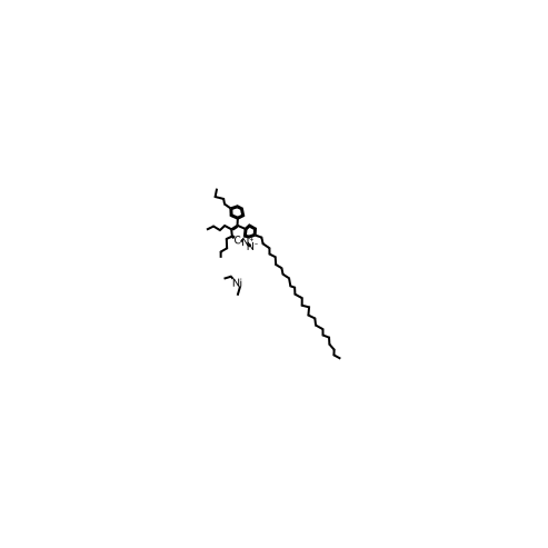 CCCCCCCCCCCCCCCCCCCCCCCCCc1ccc(C(=C(CCCC)C(=C=[N+]=[N-])CCCC)c2cccc(CCCC)c2)cc1.C[CH2][Ni][CH2]C